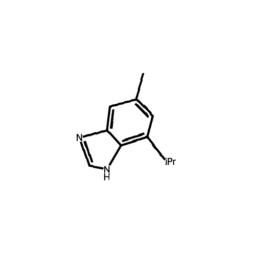 Cc1cc(C(C)C)c2[nH]cnc2c1